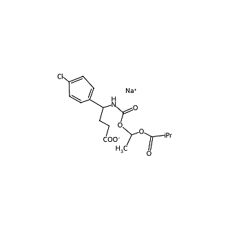 CC(OC(=O)NC(CCC(=O)[O-])c1ccc(Cl)cc1)OC(=O)C(C)C.[Na+]